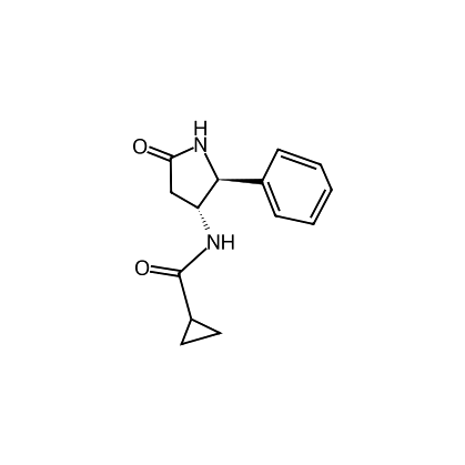 O=C1C[C@@H](NC(=O)C2CC2)[C@H](c2ccccc2)N1